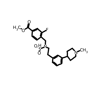 COC(=O)c1ccc(CN(CCc2cccc(C3CCN(C)CC3)c2)[SH](=O)=O)c(F)c1